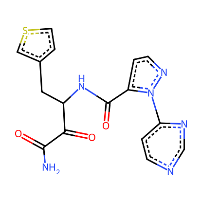 NC(=O)C(=O)C(Cc1ccsc1)NC(=O)c1ccnn1-c1ccncn1